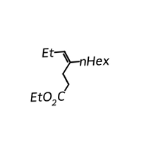 CCC=C(CCCCCC)CCC(=O)OCC